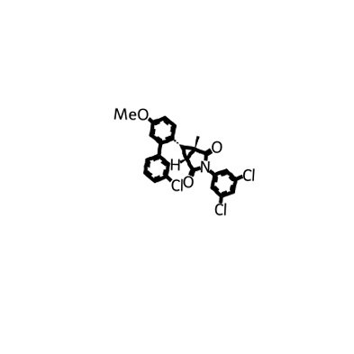 COc1ccc([C@H]2[C@H]3C(=O)N(c4cc(Cl)cc(Cl)c4)C(=O)[C@]32C)c(-c2cccc(Cl)c2)c1